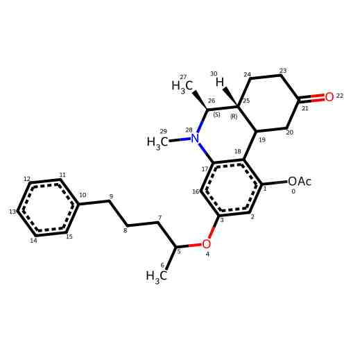 CC(=O)Oc1cc(OC(C)CCCc2ccccc2)cc2c1C1CC(=O)CC[C@H]1[C@H](C)N2C